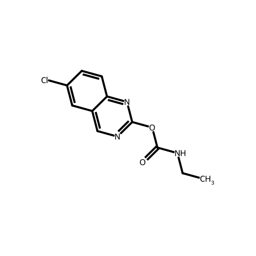 CCNC(=O)Oc1ncc2cc(Cl)ccc2n1